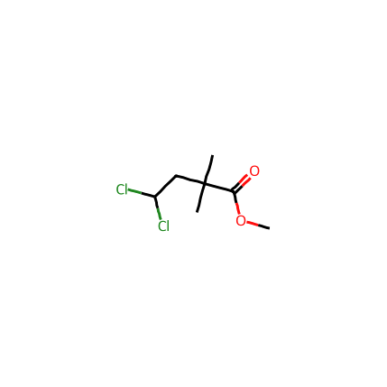 COC(=O)C(C)(C)CC(Cl)Cl